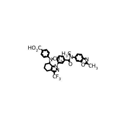 Cc1nc2ccc(N(C)C(=O)c3cccc(-n4nc(C(F)(F)F)c5c4C(N(C)c4ccc(C(=O)O)cc4)CCC5)c3)cc2o1